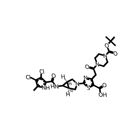 Cc1[nH]c(C(=O)NC2[C@H]3CN(c4nc(CC(=O)N5CCN(C(=O)OC(C)(C)C)CC5)c(C(=O)O)s4)C[C@@H]23)c(Cl)c1Cl